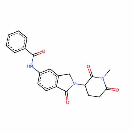 CN1C(=O)CCC(N2Cc3cc(NC(=O)c4ccccc4)ccc3C2=O)C1=O